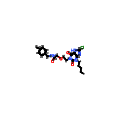 CCCCCn1c(=O)n(CCOCC(=O)NCc2ccc(C)cc2)c(=O)c2[nH]c(Cl)nc21